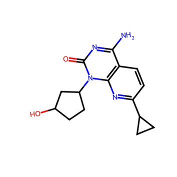 Nc1nc(=O)n(C2CCC(O)C2)c2nc(C3CC3)ccc12